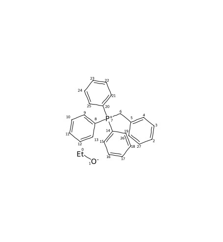 CC[O-].c1ccc(C[P+](c2ccccc2)(c2ccccc2)c2ccccc2)cc1